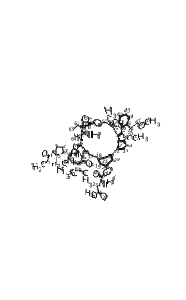 C=CC(=O)N1CC[C@H](C(=O)N(C)[C@H](C(=O)N[C@H]2Cc3cc(OC(=O)NCC(=O)O)cc(c3)-c3ccc4c(c3)c(c(-c3ccccc3CCOC)n4CC)CC(C)(C)COC(=O)[C@@H]3CCCN(N3)C2=O)C(C)C)C1